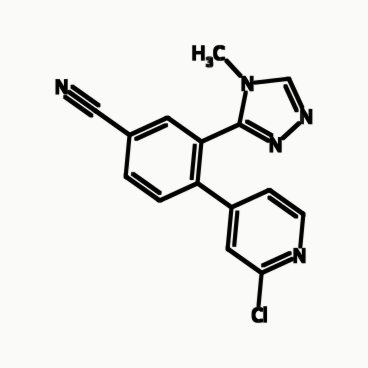 Cn1cnnc1-c1cc(C#N)ccc1-c1ccnc(Cl)c1